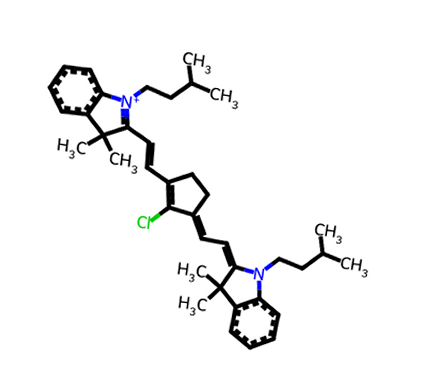 CC(C)CCN1/C(=C/C=C2\CCC(/C=C/C3=[N+](CCC(C)C)c4ccccc4C3(C)C)=C2Cl)C(C)(C)c2ccccc21